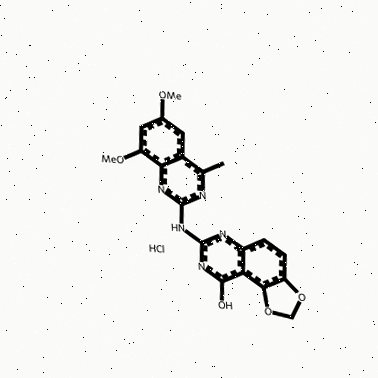 COc1cc(OC)c2nc(Nc3nc(O)c4c5c(ccc4n3)OCO5)nc(C)c2c1.Cl